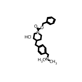 CN(C)Cc1ccc(CC2CCN(C(=O)OCc3ccccc3)CC2)cc1.Cl